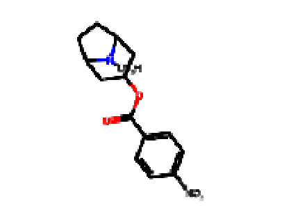 O=C(OC1CC2CCC(C1)N2C(=O)O)c1ccc([N+](=O)[O-])cc1